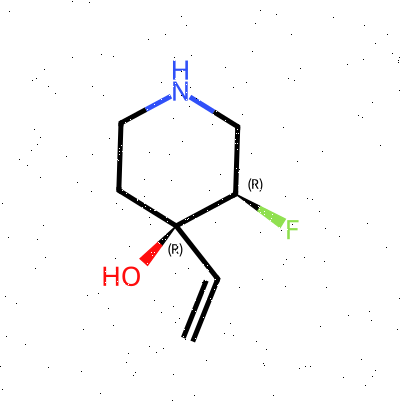 C=C[C@]1(O)CCNC[C@H]1F